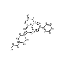 C=C(F)CC(OC(=O)c1ccccc1)c1ccc(C2CCC(CCC)CC2)cc1